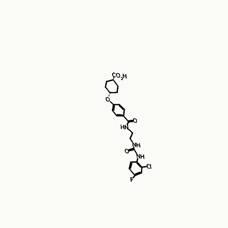 O=C(NCCNC(=O)c1ccc(O[C@H]2CC[C@@H](C(=O)O)CC2)cc1)Nc1ccc(F)cc1Cl